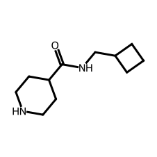 O=C(NCC1CCC1)C1CCNCC1